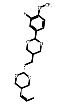 C/C=C\[C@H]1CO[C@H](CCC2COC(c3ccc(OC(F)(F)F)c(F)c3)OC2)OC1